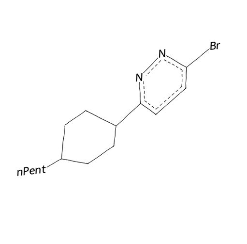 CCCCCC1CCC(c2ccc(Br)nn2)CC1